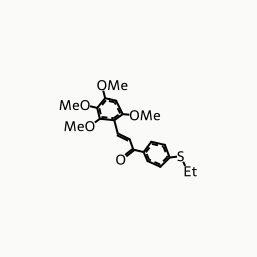 CCSc1ccc(C(=O)C=Cc2c(OC)cc(OC)c(OC)c2OC)cc1